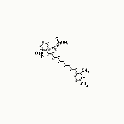 Cc1ccc(CCCCCCCCCCc2c(C3OC3C(N)=O)cccc2[N+](=O)[O-])c(C)c1